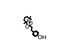 CC1(C)CCCC(C)(C)N1OC(=O)CCc1ccc(O)cc1